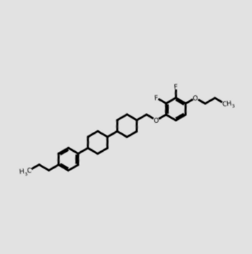 CCCOc1ccc(OCC2CCC(C3CCC(c4ccc(CCC)cc4)CC3)CC2)c(F)c1F